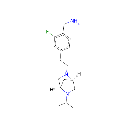 CC(C)N1C[C@H]2C[C@@H]1CN2CCc1ccc(CN)c(F)c1